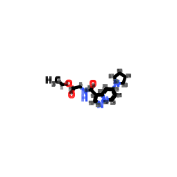 CCOC(=O)CNC(=O)c1cnn2ccc(N3CCCC3)cc12